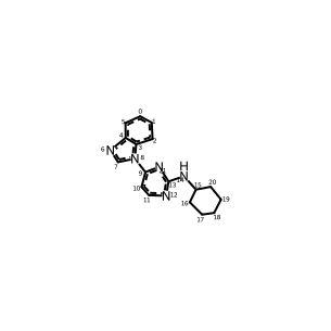 c1ccc2c(c1)ncn2-c1ccnc(NC2CCCCC2)n1